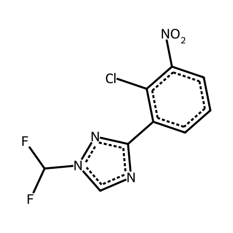 O=[N+]([O-])c1cccc(-c2ncn(C(F)F)n2)c1Cl